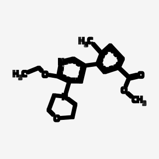 CCOc1ncc(-c2cc(C(=O)OC)ccc2C)cc1N1CCOCC1